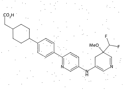 COC1(C(F)F)C=NC=C(Nc2ccc(-c3ccc(C4CCC(CC(=O)O)CC4)cc3)nc2)C1